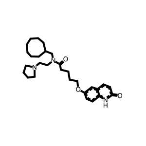 O=C(CCCCOc1ccc2[nH]c(=O)ccc2c1)N(CCN1CCCC1)CC1CCCCCCC1